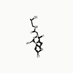 CC(O)CNC(=O)Cn1nc(C(C)C)n2c(cc3sc(Cl)cc32)c1=O